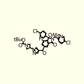 CO[C@]1(c2ccc(Cl)cc2)c2c(F)cc(C(=O)c3cnn(C4CN(C(=O)OC(C)(C)C)C4)c3)cc2C(=O)N1Cc1ccc(Cl)cn1